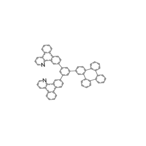 c1ccc2c(c1)-c1ccccc1-c1ccc(-c3cc(-c4ccc5c6ccccc6c6cccnc6c5c4)cc(-c4ccc5c6ccccc6c6cccnc6c5c4)c3)cc1-c1ccccc1-2